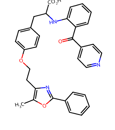 Cc1oc(-c2ccccc2)nc1CCOc1ccc(CC(Nc2ccccc2C(=O)c2ccncc2)C(=O)O)cc1